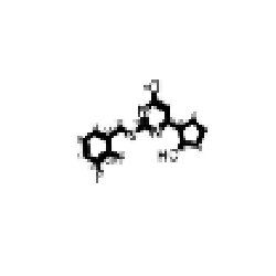 OC1CCCC1c1cc(Cl)nc(SCc2cccc(F)c2F)n1